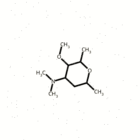 COC1C(C)OC(C)CC1N(C)C